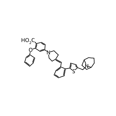 O=C(O)c1ccc(N2CCC(=Cc3ccccc3-c3ccc(CN4C5CCCC4CC5)s3)CC2)cc1Oc1ccccc1